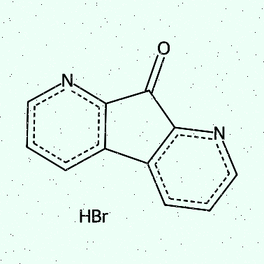 Br.O=C1c2ncccc2-c2cccnc21